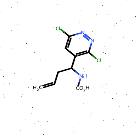 C=CCC(NC(=O)O)c1cc(Cl)nnc1Cl